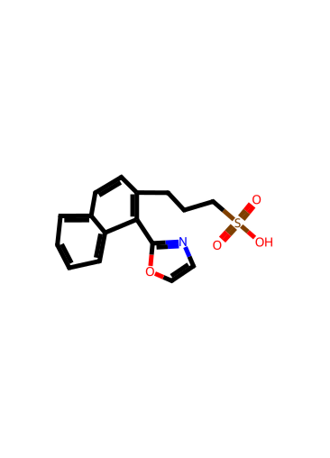 O=S(=O)(O)CCCc1ccc2ccccc2c1-c1ncco1